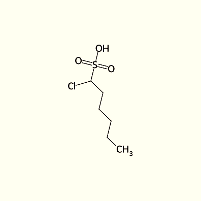 CCCCCC(Cl)S(=O)(=O)O